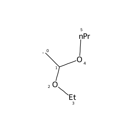 [CH2]C(OCC)OCCC